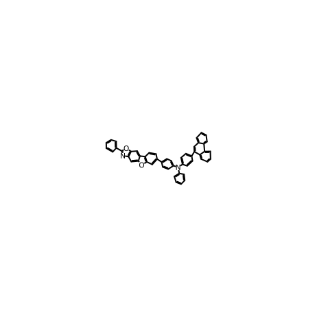 c1ccc(-c2nc3cc4oc5cc(-c6ccc(N(c7ccccc7)c7ccc(-c8cc9ccccc9c9ccccc89)cc7)cc6)ccc5c4cc3o2)cc1